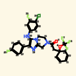 O=C(CC1(OC(F)(F)F)C=CC=CC1)N1CCn2c(nc(-c3ccc(F)cc3)c2Nc2ccc(Cl)c(F)c2)C1